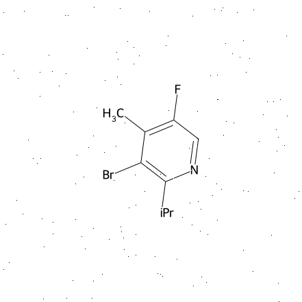 Cc1c(F)cnc(C(C)C)c1Br